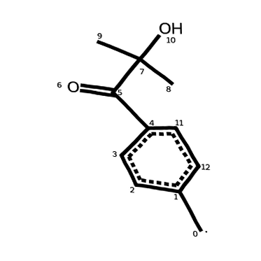 [CH2]c1ccc(C(=O)C(C)(C)O)cc1